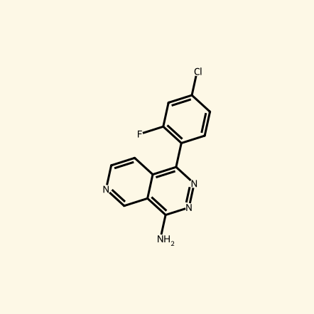 Nc1nnc(-c2ccc(Cl)cc2F)c2ccncc12